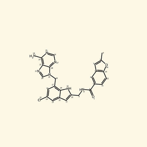 Cc1cc2cc(C(=O)NCc3cc4cc(Cl)cc(Cn5cnc6c(N)ncnc65)c4[nH]3)ccc2o1